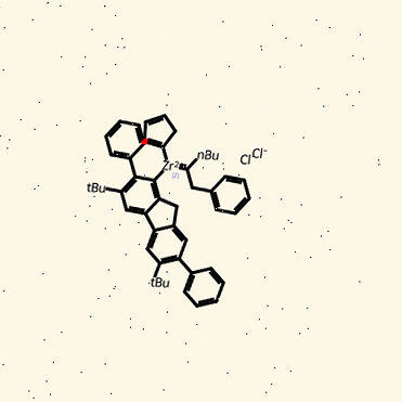 CCCC/[C](Cc1ccccc1)=[Zr+2](\[C]1=CC=CC1)[c]1c2c(cc(C(C)(C)C)c1-c1ccccc1)-c1cc(C(C)(C)C)c(-c3ccccc3)cc1C2.[Cl-].[Cl-]